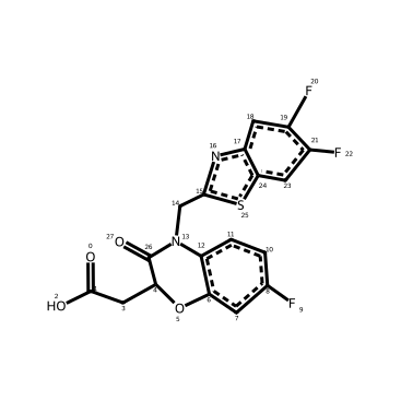 O=C(O)CC1Oc2cc(F)ccc2N(Cc2nc3cc(F)c(F)cc3s2)C1=O